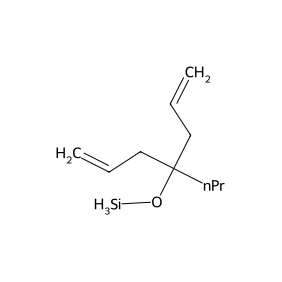 C=CCC(CC=C)(CCC)O[SiH3]